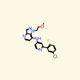 COCCn1ncc2nccc(Nc3ccnc(-c4cc(Cl)ccc4F)c3)c21